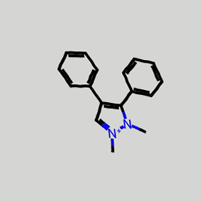 Cn1c(-c2ccccc2)c(-c2ccccc2)c[n+]1C